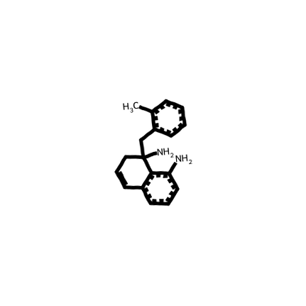 Cc1ccccc1CC1(N)CC=Cc2cccc(N)c21